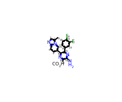 Cc1cnc2ccc(-c3nc(C(=O)O)c(N)nc3-c3ccc(F)c(F)c3)cn12